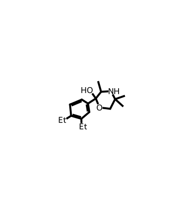 CCc1ccc(C2(O)OCC(C)(C)NC2C)cc1CC